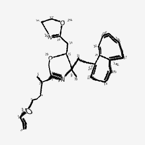 C=COCC[C](C)C1=NC(C)(Cc2cccc3ccccc23)C(CC2=NCCO2)O1